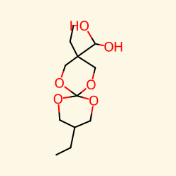 CCC1COC2(OC1)OCC(CC)(C(O)O)CO2